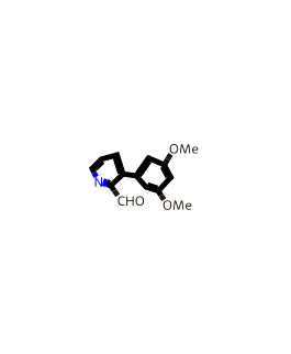 COc1cc(OC)cc(-c2cccnc2C=O)c1